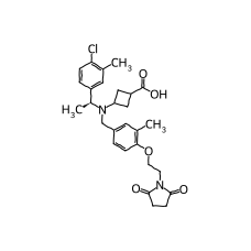 Cc1cc([C@H](C)N(Cc2ccc(OCCN3C(=O)CCC3=O)c(C)c2)C2CC(C(=O)O)C2)ccc1Cl